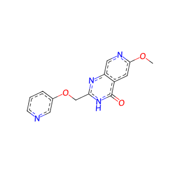 COc1cc2c(=O)[nH]c(COc3cccnc3)nc2cn1